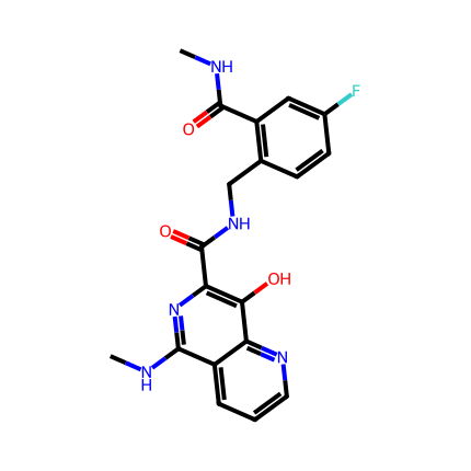 CNC(=O)c1cc(F)ccc1CNC(=O)c1nc(NC)c2cccnc2c1O